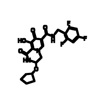 O=C(NCc1c(F)cc(F)cc1F)c1cn2c(c(O)c1=O)C(=O)NC(OC1CCCC1)C2